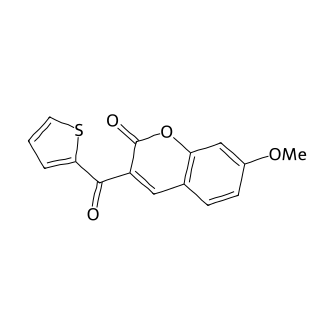 COc1ccc2cc(C(=O)c3cccs3)c(=O)oc2c1